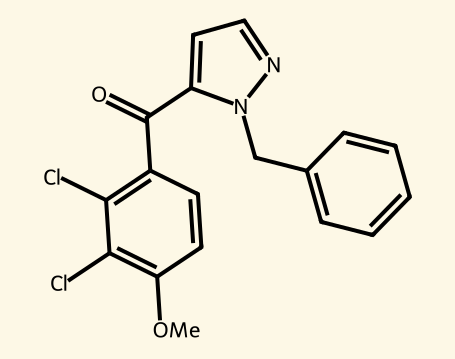 COc1ccc(C(=O)c2ccnn2Cc2ccccc2)c(Cl)c1Cl